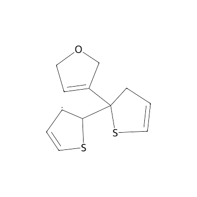 [CH]1C=CSC1C1(C2=CCOC2)CC=CS1